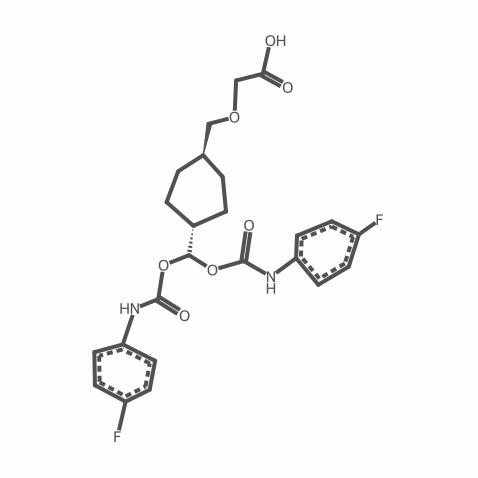 O=C(O)COC[C@H]1CC[C@H](C(OC(=O)Nc2ccc(F)cc2)OC(=O)Nc2ccc(F)cc2)CC1